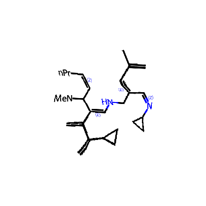 C=C(C)/C=C(\C=N/C1CC1)CN/C=C(/C(=C)C(=C)C1CC1)C(/C=C\CCC)NC